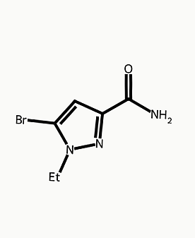 CCn1nc(C(N)=O)cc1Br